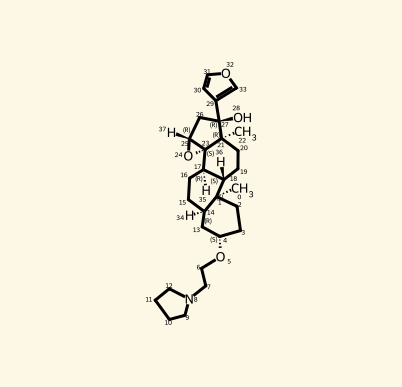 C[C@]12CC[C@H](OCCN3CCCC3)C[C@H]1CC[C@@H]1[C@@H]2CC[C@@]2(C)[C@@]13O[C@@H]3C[C@]2(O)c1ccoc1